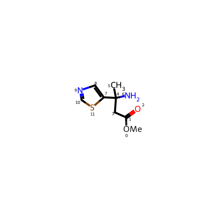 COC(=O)CC(C)(N)c1cncs1